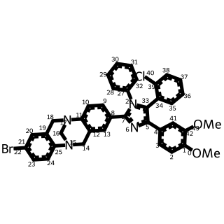 COc1ccc(-c2nc(-c3ccc4c(c3)CN3CN4Cc4cc(Br)ccc43)n(-c3ccccc3)c2-c2ccccc2Cl)cc1OC